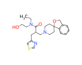 CCN(CCO)C(=O)C(Cc1cscn1)CN1CCC2(CC1)OCc1ccccc12